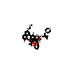 COCOc1cc(-c2c(F)c(OC)c3c(N4CC5CCC(C4)N5C(=O)OC(C)(C)C)nc(OCC4(CN5CCOCC5)CC4)nc3c2F)c2c(C#C[Si](C(C)C)(C(C)C)C(C)C)c(F)ccc2c1